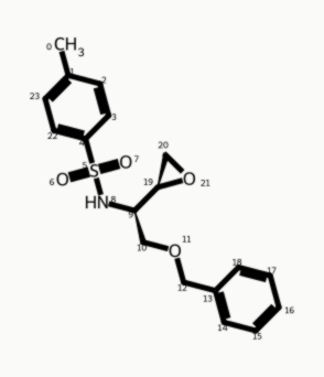 Cc1ccc(S(=O)(=O)N[C@H](COCc2ccccc2)[C@H]2CO2)cc1